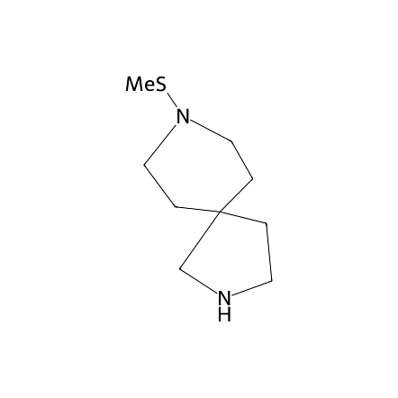 CSN1CCC2(CCNC2)CC1